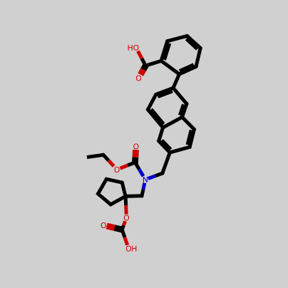 CCOC(=O)N(Cc1ccc2cc(-c3ccccc3C(=O)O)ccc2c1)CC1(OC(=O)O)CCCC1